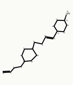 C=CCCC1CCC(CCC=CC2CCC(CCC)CC2)CC1